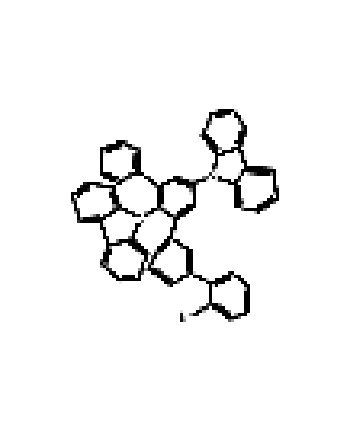 Brc1ccccc1-c1cccc(-c2cc(-n3c4ccccc4c4ccccc43)cc(-c3ccccc3)c2-n2c3ccccc3c3ccccc32)c1